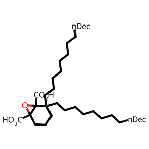 CCCCCCCCCCCCCCCCCCC1(CCCCCCCCCCCCCCCCCC)CCCC2(C(=O)O)OC12C(=O)O